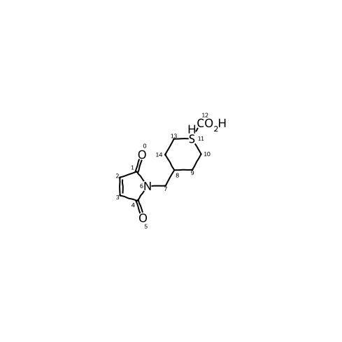 O=C1C=CC(=O)N1CC1CC[SH](C(=O)O)CC1